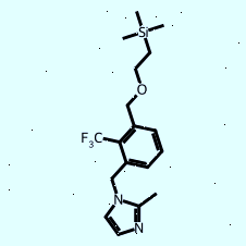 Cc1nccn1Cc1cccc(COCC[Si](C)(C)C)c1C(F)(F)F